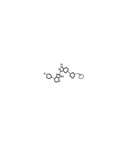 Fc1ccc(-c2ccnc3[nH]c(-c4n[nH]c5ccc(-c6cncc(CN7CCCC7)c6)cc45)nc23)cc1